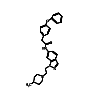 CC1CCN(CCn2ncc3ccc(NC(=O)Cc4ccc(Oc5ccccc5)cc4)cc32)CC1